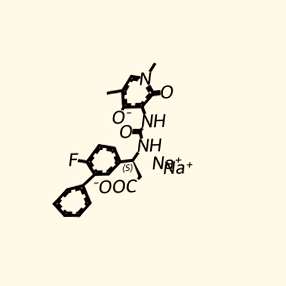 Cc1cn(C)c(=O)c(NC(=O)N[C@@H](CC(=O)[O-])c2ccc(F)c(-c3ccccc3)c2)c1[O-].[Na+].[Na+]